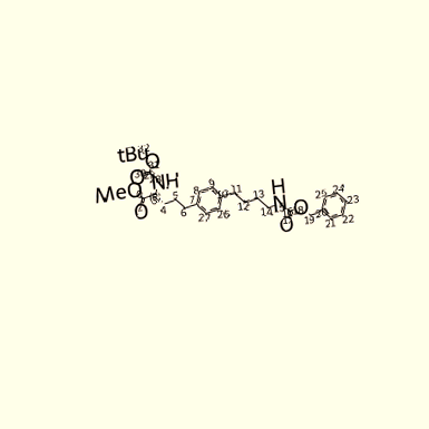 COC(=O)[C@@H](CCCc1ccc(CCCCNC(=O)OCc2ccccc2)cc1)NC(=O)OC(C)(C)C